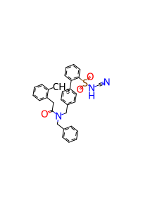 Cc1ccccc1CC(=O)N(Cc1ccccc1)Cc1ccc(-c2ccccc2S(=O)(=O)NC#N)cc1